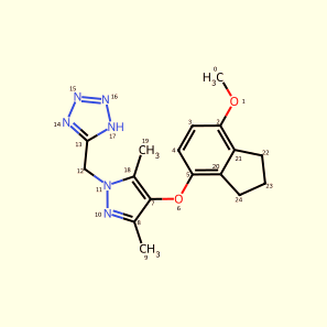 COc1ccc(Oc2c(C)nn(Cc3nnn[nH]3)c2C)c2c1CCC2